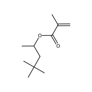 C=C(C)C(=O)OC(C)CC(C)(C)C